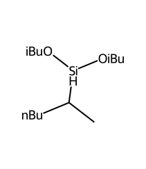 CCCCC(C)[SiH](OCC(C)C)OCC(C)C